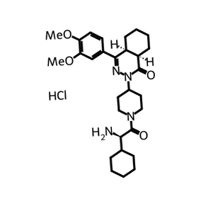 COc1ccc(C2=NN(C3CCN(C(=O)[C@H](N)C4CCCCC4)CC3)C(=O)[C@@H]3CCCC[C@H]23)cc1OC.Cl